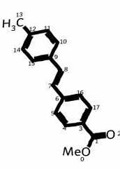 COC(=O)c1ccc(C=Cc2ccc(C)cc2)cc1